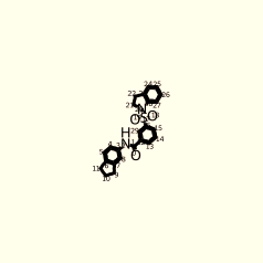 O=C(Nc1ccc2c(c1)CCC2)c1cccc(S(=O)(=O)N2CCc3ccccc32)c1